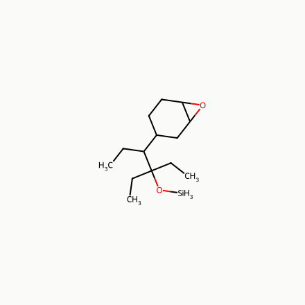 CCC(C1CCC2OC2C1)C(CC)(CC)O[SiH3]